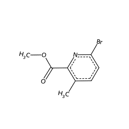 COC(=O)c1nc(Br)ccc1C